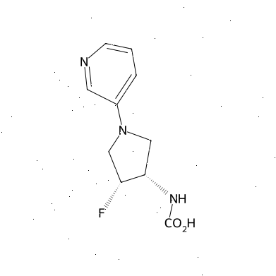 O=C(O)N[C@H]1CN(c2cccnc2)C[C@H]1F